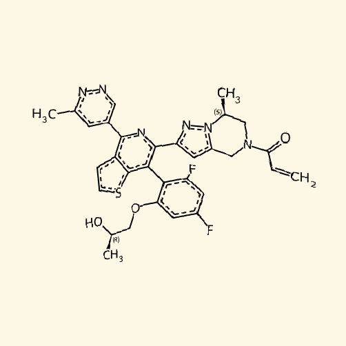 C=CC(=O)N1Cc2cc(-c3nc(-c4cnnc(C)c4)c4ccsc4c3-c3c(F)cc(F)cc3OC[C@@H](C)O)nn2[C@@H](C)C1